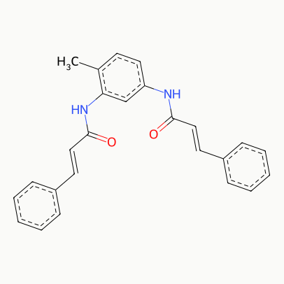 Cc1ccc(NC(=O)C=Cc2ccccc2)cc1NC(=O)C=Cc1ccccc1